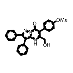 COc1ccc(-c2c(CO)[nH]c3c(-c4ccccc4)c(-c4ccccc4)nn3c2=O)cc1